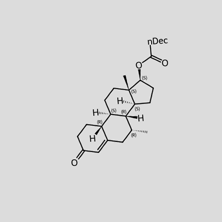 CCCCCCCCCCC(=O)O[C@H]1CC[C@H]2[C@H]3[C@H](CC[C@]12C)[C@H]1CCC(=O)C=C1C[C@H]3C